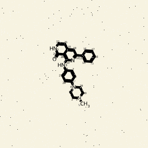 CN1CCN(c2ccc(Nc3nc(-c4ccccc4)cc4cc[nH]c(=O)c34)cc2)CC1